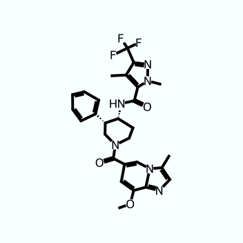 COc1cc(C(=O)N2CC[C@@H](NC(=O)c3c(C)c(C(F)(F)F)nn3C)[C@@H](c3ccccc3)C2)cn2c(C)cnc12